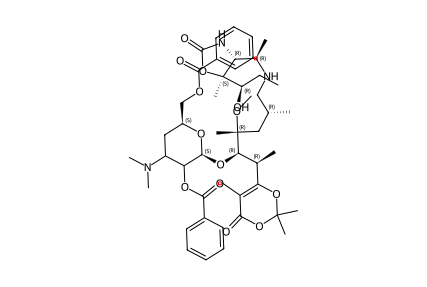 CC[C@@H](O)[C@@]1(C)OC(=O)N[C@@H]1[C@@H](C)NC[C@H](C)C[C@@](C)(OC)[C@H](O[C@@H]1O[C@H](COC(=O)c2ccccc2)CC(N(C)C)C1OC(=O)c1ccccc1)[C@@H](C)C1=C(C)C(=O)OC(C)(C)O1